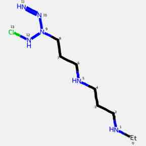 CCNCCCNCCCN(N=N)NCl